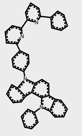 c1ccc(-c2cccc(-c3cccc(-c4ccc(-n5c6ccccc6c6c5ccc5c7ccccc7n(-c7ccccc7)c56)cc4)n3)n2)cc1